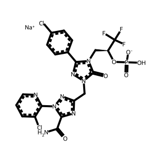 NC(=O)c1nc(Cn2nc(-c3ccc(Cl)cc3)n(C[C@H](OP(=O)([O-])O)C(F)(F)F)c2=O)nn1-c1ncccc1Cl.[Na+]